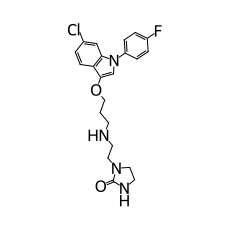 O=C1NCCN1CCNCCCOc1cn(-c2ccc(F)cc2)c2cc(Cl)ccc12